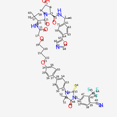 C[C@H](NC(=O)[C@@H]1C[C@@H](O)CN1C(=O)[C@@H](NC(=O)COCCCCOc1ccc(-c2ccc(N3C(=S)N(c4ccc(C#N)c(C(F)(F)F)c4)C(=O)C3(C)C)cc2)cc1)C(C)(C)C)c1ccc(-c2cnco2)cc1